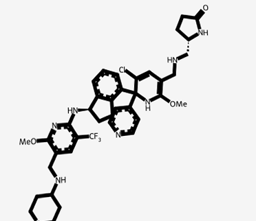 COC1=C(CNC[C@@H]2CCC(=O)N2)C=C(Cl)C(c2ccncc2)(c2cccc3c2CC[C@H]3Nc2nc(OC)c(CNC3CCOCC3)cc2C(F)(F)F)N1